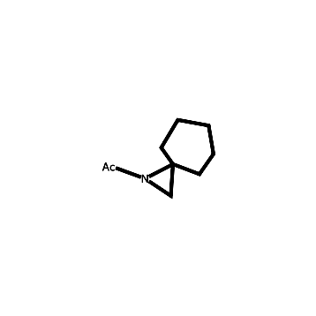 CC(=O)N1CC12CCCCC2